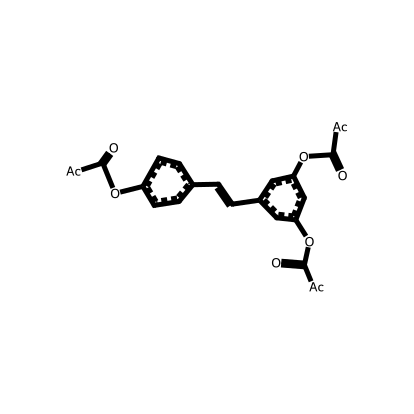 CC(=O)C(=O)Oc1ccc(C=Cc2cc(OC(=O)C(C)=O)cc(OC(=O)C(C)=O)c2)cc1